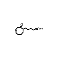 CCCCCCCCCCCCN1CCC/N=C\CC1=O